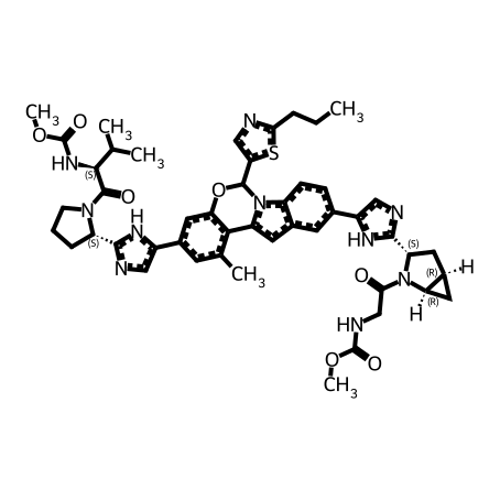 CCCc1ncc(C2Oc3cc(-c4cnc([C@@H]5CCCN5C(=O)[C@@H](NC(=O)OC)C(C)C)[nH]4)cc(C)c3-c3cc4cc(-c5cnc([C@@H]6C[C@H]7C[C@H]7N6C(=O)CNC(=O)OC)[nH]5)ccc4n32)s1